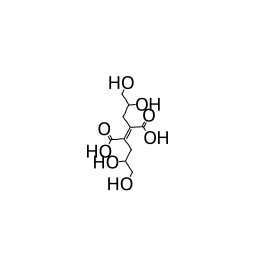 O=C(O)C(CC(O)CO)=C(CC(O)CO)C(=O)O